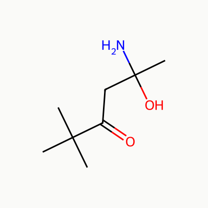 CC(N)(O)CC(=O)C(C)(C)C